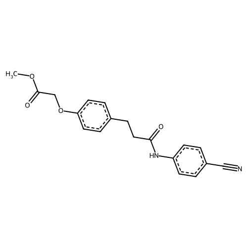 COC(=O)COc1ccc(CCC(=O)Nc2ccc(C#N)cc2)cc1